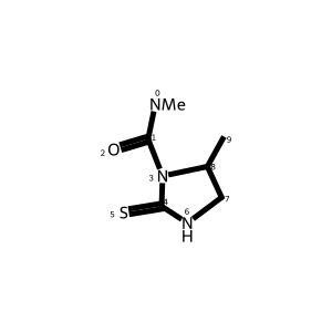 CNC(=O)N1C(=S)NCC1C